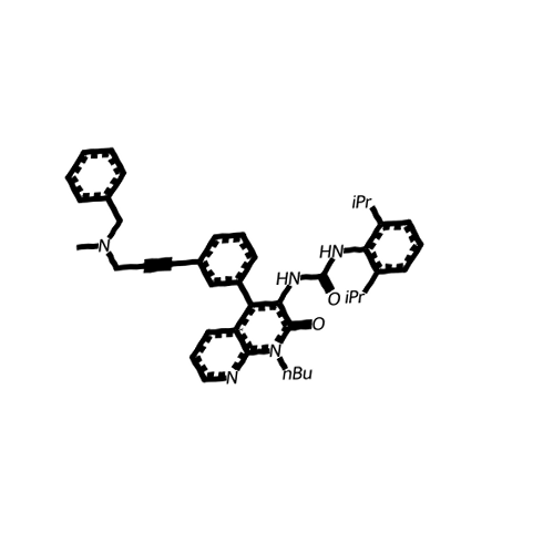 CCCCn1c(=O)c(NC(=O)Nc2c(C(C)C)cccc2C(C)C)c(-c2cccc(C#CCN(C)Cc3ccccc3)c2)c2cccnc21